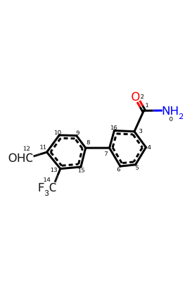 NC(=O)c1cccc(-c2ccc(C=O)c(C(F)(F)F)c2)c1